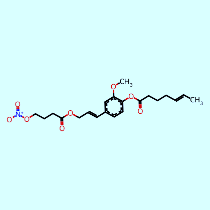 CC=CCCCC(=O)Oc1ccc(/C=C/COC(=O)CCCO[N+](=O)[O-])cc1OC